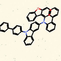 c1ccc(-c2ccc(-n3c4ccccc4c4cc(N(c5ccccc5-c5ccccc5)c5cccc6oc7ccccc7c56)ccc43)cc2)cc1